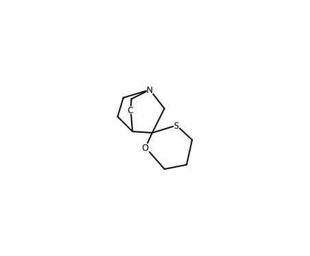 C1COC2(CN3CCC2CC3)SC1